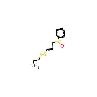 CCCSSC=CC[S+]([O-])c1ccccc1